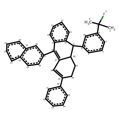 CC(C)(F)c1cccc(C2c3ccccc3C(c3ccc4ccccc4c3)=C3C=C(c4ccccc4)CCC32)c1